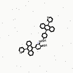 N=C1C=CC(c2c3ccccc3c(-c3cccnc3)c3ccccc23)=C/C1=N/Nc1ccc(-c2c3ccccc3c(-c3cccnc3)c3ccccc23)cc1